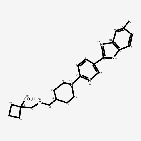 Cc1ccc2[nH]c(-c3ccc(N4CCC(COCC5(C(=O)O)CCC5)CC4)nc3)nc2c1